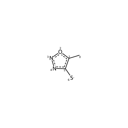 Cc1onnc1[S]